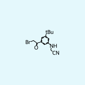 CC(C)(C)c1cc(NCC#N)cc(C(=O)CBr)c1